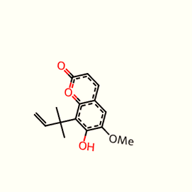 C=CC(C)(C)c1c(O)c(OC)cc2ccc(=O)oc12